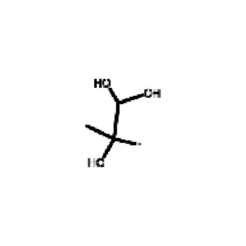 [CH2]C(C)(O)C(O)O